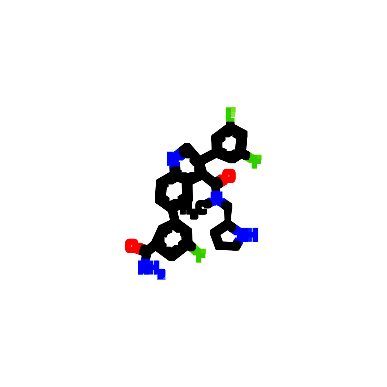 CN(C[C@@H]1CCCN1)C(=O)c1c(-c2cc(F)cc(F)c2)cnc2ccc(-c3cc(F)cc(C(N)=O)c3)cc12